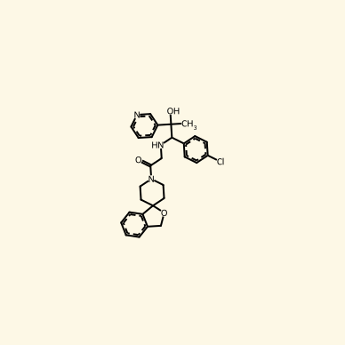 CC(O)(c1cccnc1)C(NCC(=O)N1CCC2(CC1)OCc1ccccc12)c1ccc(Cl)cc1